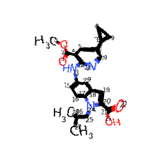 COC(=O)c1cc(C2CC2)cnc1NC1=CC=C2C(C=C(C(=O)O)N2CC(C)C)C1